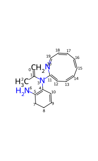 C=C(C)N(C1=C(N)CCC=C1)c1ccccccccn1